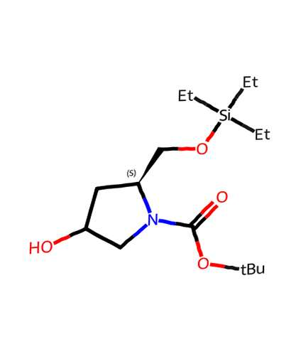 CC[Si](CC)(CC)OC[C@@H]1CC(O)CN1C(=O)OC(C)(C)C